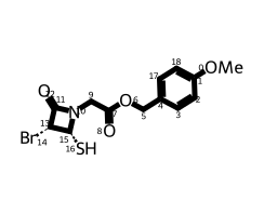 COc1ccc(COC(=O)CN2C(=O)[C@@H](Br)[C@H]2S)cc1